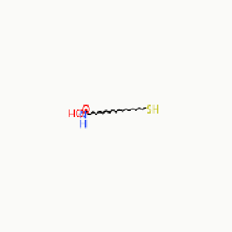 O=C(CCCCCCCCCCCCCCCCCCS)NO